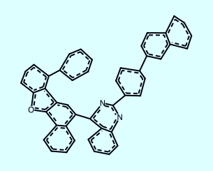 c1ccc(-c2cccc3oc4c5ccccc5c(-c5nc(-c6ccc(-c7ccc8ccccc8c7)cc6)nc6ccccc56)cc4c23)cc1